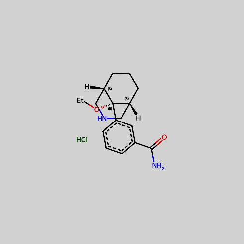 CCO[C@@]1(c2cccc(C(N)=O)c2)[C@@H]2CCC[C@H]1CNC2.Cl